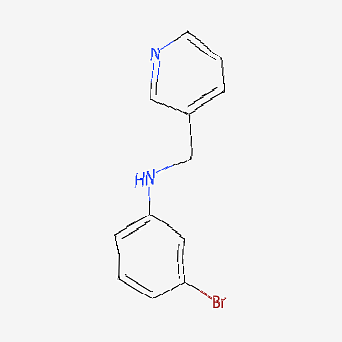 Brc1cccc(NCc2cccnc2)c1